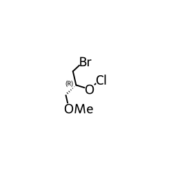 COC[C@H](CBr)OCl